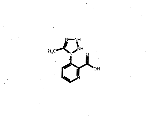 CC1=NNNN1c1cccnc1C(=O)O